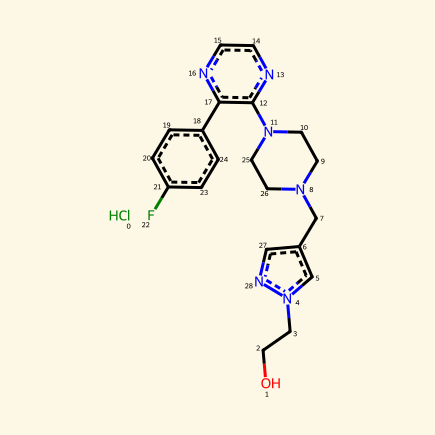 Cl.OCCn1cc(CN2CCN(c3nccnc3-c3ccc(F)cc3)CC2)cn1